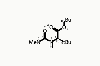 CNC(=O)N[C@@H](C(=O)OC(C)(C)C)C(C)(C)C